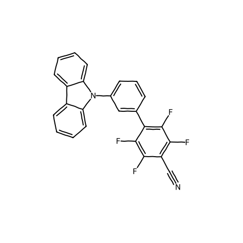 N#Cc1c(F)c(F)c(-c2cccc(-n3c4ccccc4c4ccccc43)c2)c(F)c1F